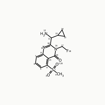 CS(=O)(=O)c1cccc2nc(C(N)C3CC3)n(CF)c(=O)c12